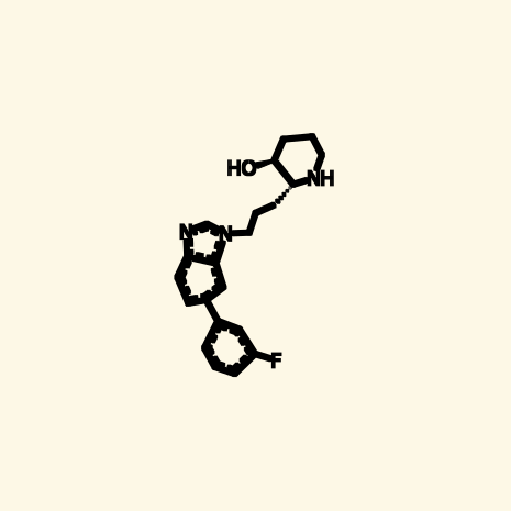 O[C@H]1CCCN[C@@H]1CCCn1cnc2ccc(-c3cccc(F)c3)cc21